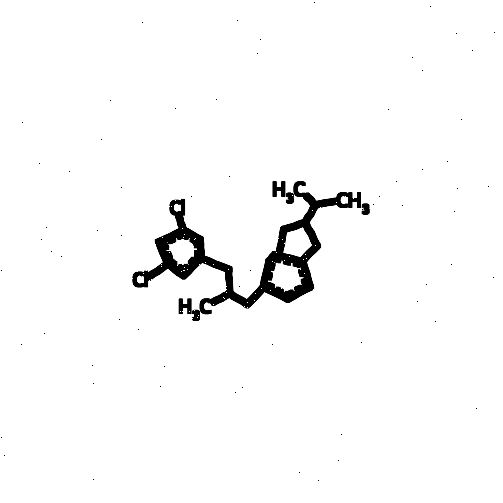 CC(Cc1cc(Cl)cc(Cl)c1)Cc1ccc2c(c1)CC(C(C)C)C2